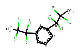 ClC(Cl)(Cl)C(Cl)(Cl)C(Cl)(Cl)c1[c]c(C(Cl)(Cl)C(Cl)(Cl)C(Cl)(Cl)Cl)ccc1